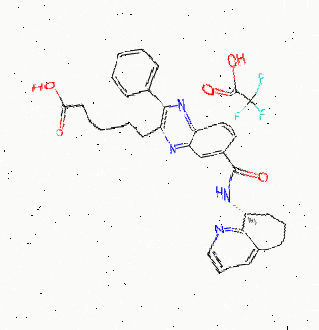 O=C(O)C(F)(F)F.O=C(O)CCCCc1nc2cc(C(=O)N[C@@H]3CCCc4cccnc43)ccc2nc1-c1ccccc1